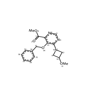 COC(=O)c1ncnc(N2CC(OC)C2)c1OCc1ccccc1